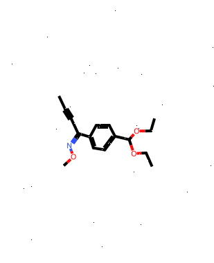 CC#C/C(=N/OC)c1ccc(C(OCC)OCC)cc1